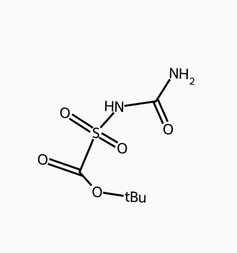 CC(C)(C)OC(=O)S(=O)(=O)NC(N)=O